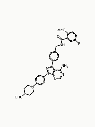 COc1ccc(F)cc1C(=O)NCc1ccc(-c2nn(-c3ccc(N4CCC(C=O)CC4)cc3)c3ncnc(N)c23)cc1